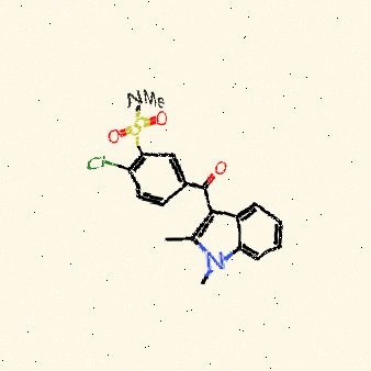 CNS(=O)(=O)c1cc(C(=O)c2c(C)n(C)c3ccccc23)ccc1Cl